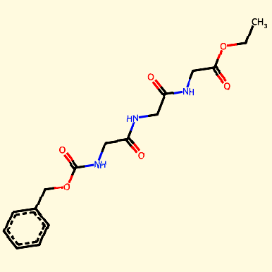 CCOC(=O)CNC(=O)CNC(=O)CNC(=O)OCc1ccccc1